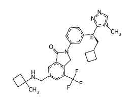 Cn1cnnc1[C@@H](CC1CCC1)c1cccc(N2Cc3c(cc(CNC4(C)CCC4)cc3C(F)(F)F)C2=O)c1